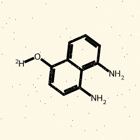 [2H]Oc1ccc(N)c2c(N)cccc12